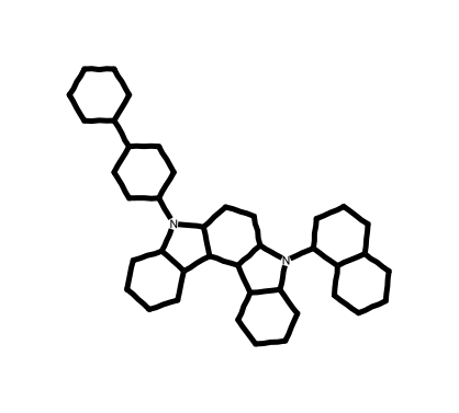 C1CCC(C2CCC(N3C4CCCCC4C4C5C6CCCCC6N(C6CCCC7CCCCC76)C5CCC43)CC2)CC1